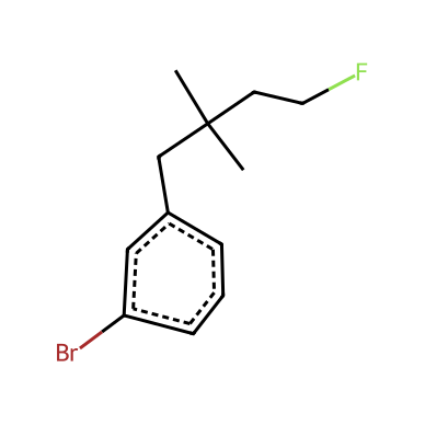 CC(C)(CCF)Cc1cccc(Br)c1